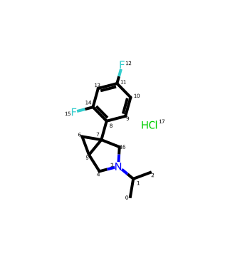 CC(C)N1CC2CC2(c2ccc(F)cc2F)C1.Cl